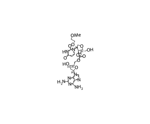 COCCO[C@]1(n2ccc(=O)[nH]c2=O)CO[C@H](CO)C1O[PH](=O)OC[C@H]1O[C@@H](n2cnc3c(N)nc(N)nc32)C[C@@H]1O